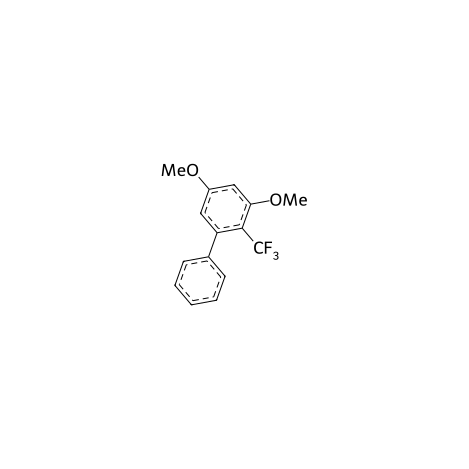 COc1cc(OC)c(C(F)(F)F)c(-c2ccccc2)c1